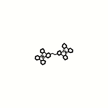 c1ccc2c(c1)B1c3ccc(CCc4ccc5c(c4)-c4ccccc4B4c6ccccc6-c6ccccc6N45)cc3-c3ccccc3N1c1ccccc1-2